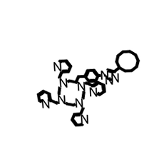 c1ccc(CN2CCN(Cc3ccccn3)CCN(Cc3ccccn3)C(Cc3ccc(-n4cc(C5CCCCCCCCC5)nn4)cc3)CN(Cc3ccccn3)CC2)nc1